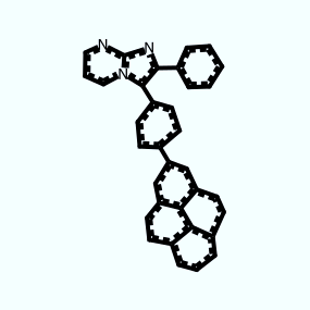 c1ccc(-c2nc3ncccn3c2-c2ccc(-c3cc4ccc5cccc6ccc(c3)c4c56)cc2)cc1